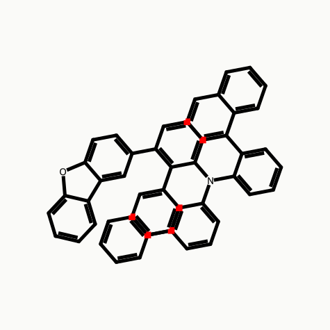 c1ccc(-c2cccc(N(c3ccccc3-c3cccc4ccccc34)c3cccc(-c4ccc5oc6ccccc6c5c4)c3-c3ccccc3)c2)cc1